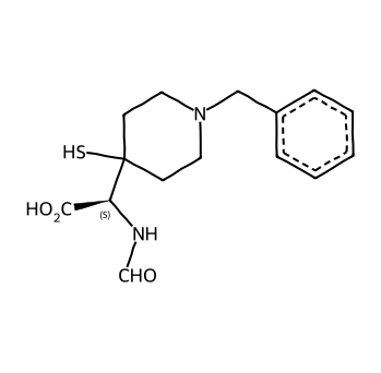 O=CN[C@@H](C(=O)O)C1(S)CCN(Cc2ccccc2)CC1